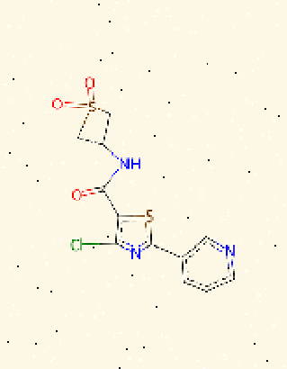 O=C(NC1CS(=O)(=O)C1)c1sc(-c2cccnc2)nc1Cl